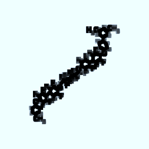 Cc1ccc(Oc2c(F)c(F)c(-c3c(F)c(F)c(OCC(F)(F)C(F)(F)C(F)(F)C(F)(F)COc4c(F)c(F)c(-c5c(F)c(F)c(Oc6ccc(-c7cc(C)cc(C)c7)cc6)c(F)c5F)c(F)c4F)c(F)c3F)c(F)c2F)cc1